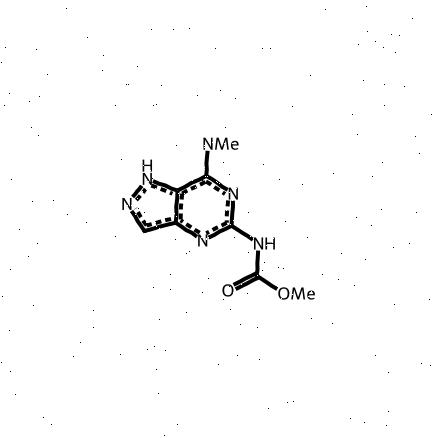 CNc1nc(NC(=O)OC)nc2cn[nH]c12